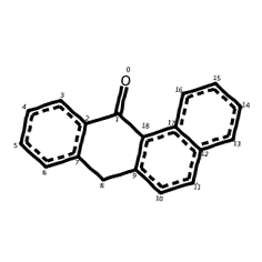 O=C1c2ccccc2Cc2c[c]c3ccccc3c21